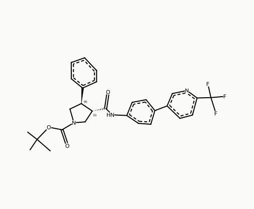 CC(C)(C)OC(=O)N1C[C@@H](C(=O)Nc2ccc(-c3ccc(C(F)(F)F)nc3)cc2)[C@H](c2ccccc2)C1